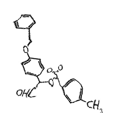 Cc1ccc(S(=O)(=O)OC(C=O)c2ccc(OCc3ccccc3)cc2)cc1